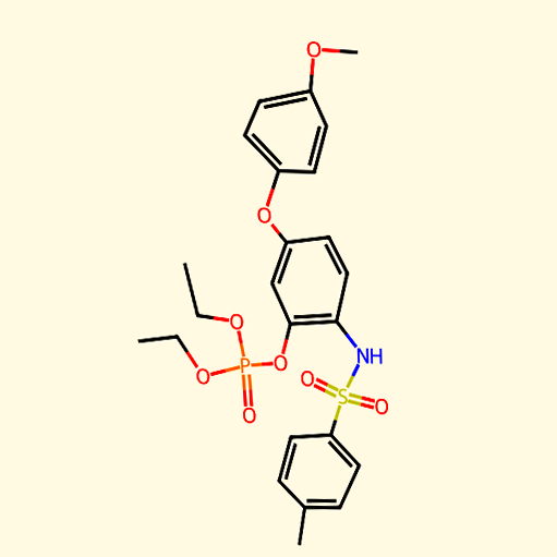 CCOP(=O)(OCC)Oc1cc(Oc2ccc(OC)cc2)ccc1NS(=O)(=O)c1ccc(C)cc1